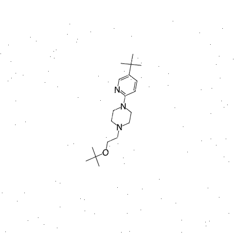 CC(C)(C)OCCN1CCN(c2ccc(C(C)(C)C)cn2)CC1